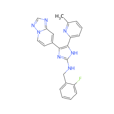 Cc1cccc(-c2[nH]c(NCc3ccccc3F)nc2-c2ccn3ncnc3c2)n1